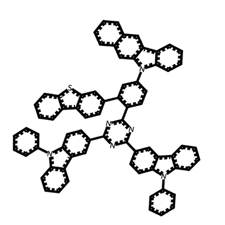 c1ccc(-n2c3ccccc3c3cc(-c4nc(-c5ccc6c(c5)c5ccccc5n6-c5ccccc5)nc(-c5ccc(-n6c7ccccc7c7cc8ccccc8cc76)cc5-c5ccc6c(c5)sc5ccccc56)n4)ccc32)cc1